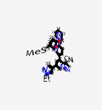 CCn1cc(-c2cc(-c3ccc(N4CC5CC(C4)N5Cc4ccc(SC)cc4)nc3)c3c(C#N)cnn3c2)cn1